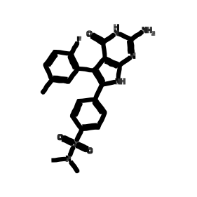 Cc1ccc(F)c(-c2c(-c3ccc(S(=O)(=O)N(C)C)cc3)[nH]c3nc(N)[nH]c(=O)c23)c1